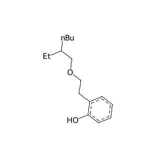 CCCCC(CC)COCCc1ccccc1O